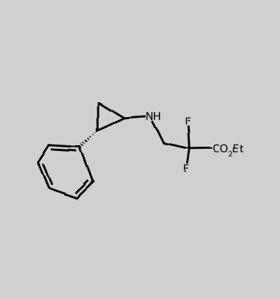 CCOC(=O)C(F)(F)CNC1C[C@H]1c1ccccc1